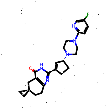 O=c1[nH]c(C2=C[C@H](N3CCN(c4ccc(F)cn4)CC3)CC2)nc2c1CC1(CC2)CC1